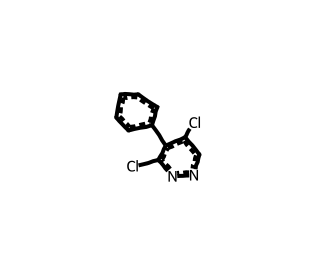 Clc1cnnc(Cl)c1-c1ccccc1